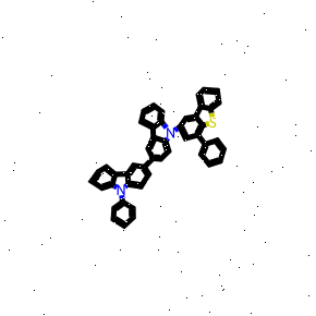 c1ccc(-c2cc(-n3c4ccccc4c4cc(-c5ccc6c(c5)c5ccccc5n6-c5ccccc5)ccc43)cc3c2sc2ccccc23)cc1